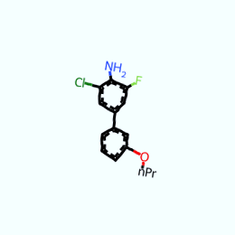 CCCOc1cccc(-c2cc(F)c(N)c(Cl)c2)c1